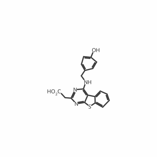 O=C(O)Cc1nc(NCc2ccc(O)cc2)c2c(n1)sc1ccccc12